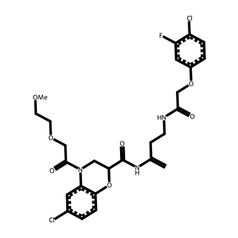 C=C(CCNC(=O)COc1ccc(Cl)c(F)c1)NC(=O)C1CN(C(=O)COCCOC)c2cc(Cl)ccc2O1